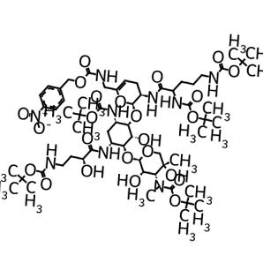 CN(C(=O)OC(C)(C)C)[C@@H]1[C@@H](O)[C@@H](O[C@@H]2[C@@H](O)[C@H](O[C@H]3OC(CNC(=O)OCc4ccc([N+](=O)[O-])cc4)=CC[C@H]3NC(=O)C(CCCNC(=O)OC(C)(C)C)NC(=O)OC(C)(C)C)[C@@H](NC(=O)OC(C)(C)C)C[C@H]2NC(=O)[C@@H](O)CCNC(=O)OC(C)(C)C)OC[C@]1(C)O